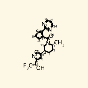 C[C@@H]1CC[C@@H](c2cc([C@H](O)C(F)(F)F)no2)CN1C(=O)c1ccsc1-c1ncccn1